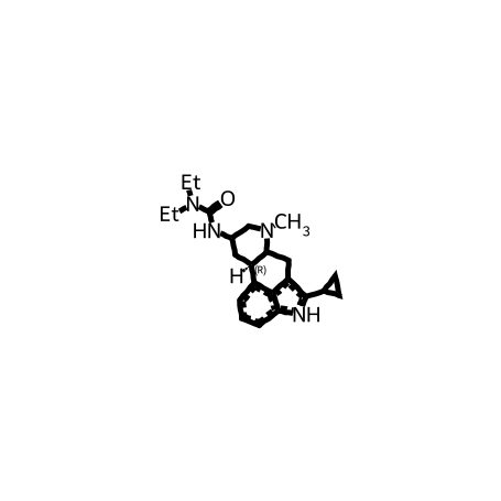 CCN(CC)C(=O)NC1C[C@@H]2c3cccc4[nH]c(C5CC5)c(c34)CC2N(C)C1